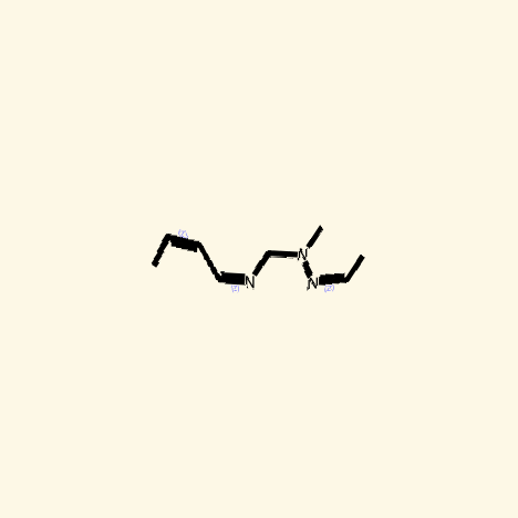 C/C=C\C=N/CN(C)/N=C\C